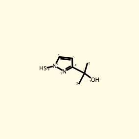 CC(C)(O)c1ccn(S)n1